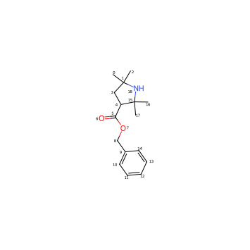 CC1(C)CC(C(=O)OCc2ccccc2)C(C)(C)N1